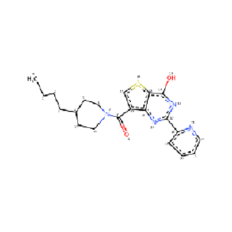 CCCCC1CCN(C(=O)c2csc3c(O)nc(-c4ccccn4)nc23)CC1